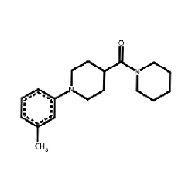 Cc1cccc(N2CCC(C(=O)N3CCCCC3)CC2)c1